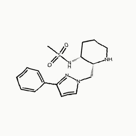 CS(=O)(=O)N[C@@H]1CCCN[C@@H]1Cn1ccc(-c2ccccc2)n1